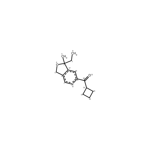 CCC1(C)OCc2cnc(C(=O)C3CCC3)cc21